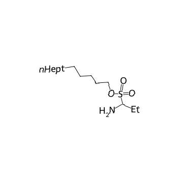 CCCCCCCCCCCCOS(=O)(=O)C(N)CC